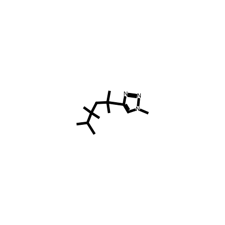 CC(C)C(C)(C)CC(C)(C)c1cn(C)nn1